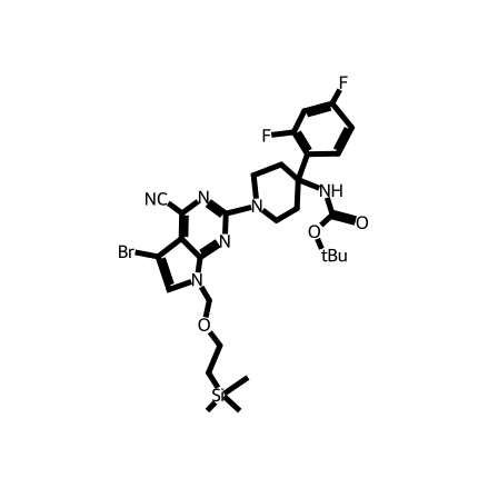 CC(C)(C)OC(=O)NC1(c2ccc(F)cc2F)CCN(c2nc(C#N)c3c(Br)cn(COCC[Si](C)(C)C)c3n2)CC1